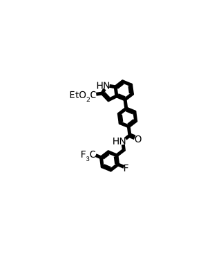 CCOC(=O)c1cc2c(-c3ccc(C(=O)NCc4cc(C(F)(F)F)ccc4F)cc3)cccc2[nH]1